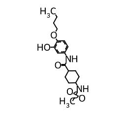 CCCCOc1ccc(NC(=O)C2CCC(NS(C)(=O)=O)CC2)cc1O